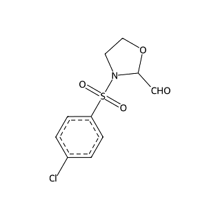 O=CC1OCCN1S(=O)(=O)c1ccc(Cl)cc1